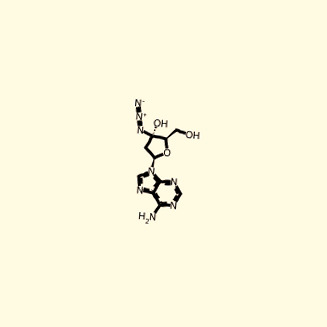 [N-]=[N+]=N[C@]1(O)C[C@H](n2cnc3c(N)ncnc32)O[C@@H]1CO